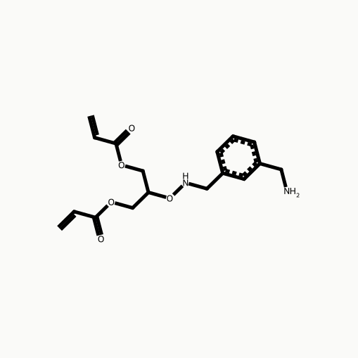 C=CC(=O)OCC(COC(=O)C=C)ONCc1cccc(CN)c1